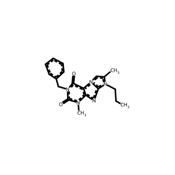 CCCn1c(C)cn2c3c(=O)n(Cc4ccccc4)c(=O)n(C)c3nc12